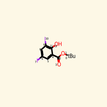 CC(C)(C)OC(=O)c1cc(I)cc(I)c1O